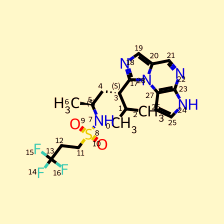 CC(C)[C@H](C[C@H](C)NS(=O)(=O)CCC(F)(F)F)c1ncc2cnc3[nH]ccc3n12